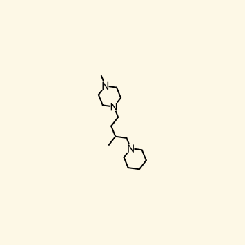 CC(CCN1CCN(C)CC1)CN1CCCCC1